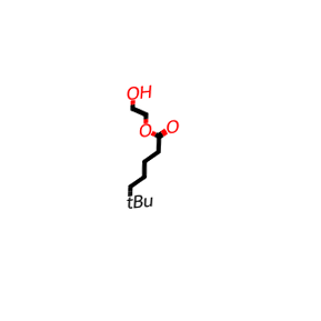 CC(C)(C)CCCCC(=O)OCCO